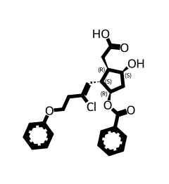 O=C(O)C[C@@H]1[C@@H](C=C(Cl)CCOc2ccccc2)[C@H](OC(=O)c2ccccc2)C[C@@H]1O